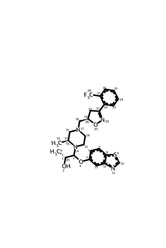 C[C@@H](O)C(Oc1ccc2scnc2c1)N1CCN(C[C@H]2CC(c3ccccc3C(F)(F)F)=NO2)C[C@@H]1C